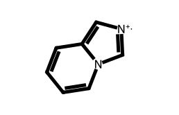 C1=CC2=C[N+]=CN2C=C1